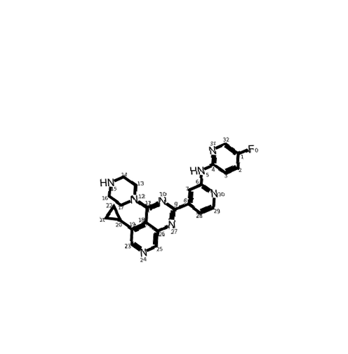 Fc1ccc(Nc2cc(-c3nc(N4CCNCC4)c4c(C5CC5)cncc4n3)ccn2)nc1